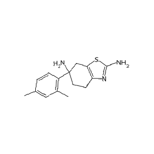 Cc1ccc(C2(N)CCc3nc(N)sc3C2)c(C)c1